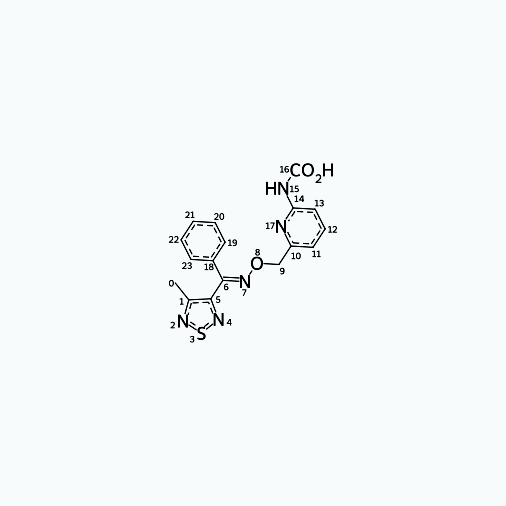 Cc1nsnc1C(=NOCc1cccc(NC(=O)O)n1)c1ccccc1